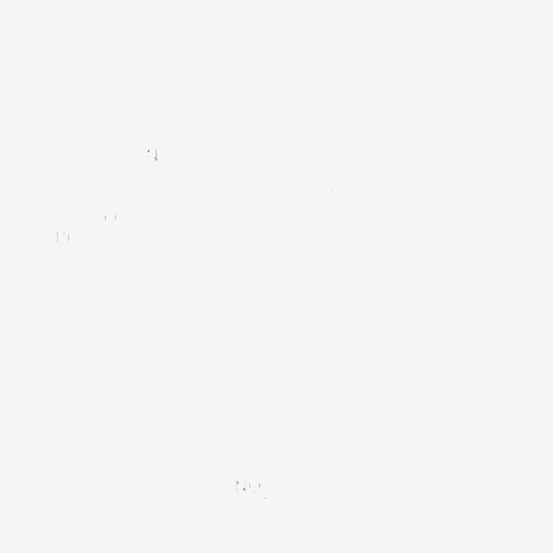 CC(C)(C)OC(=O)N1CCc2cc(OCc3ccccc3)c(OCc3ccccc3)cc2C1Cc1cccc(-c2ccc([N+](=O)[O-])cc2)c1